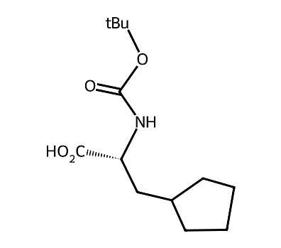 CC(C)(C)OC(=O)N[C@H](CC1CCCC1)C(=O)O